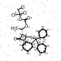 CC(OC(=O)OC(Cl)(Cl)CCl)[C@H]1C(=O)N[C@@H]1SC(c1ccccc1)(c1ccccc1)c1ccccc1